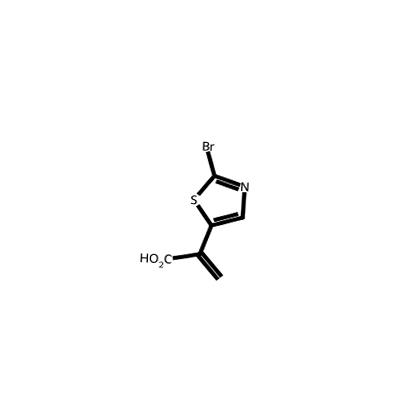 C=C(C(=O)O)c1cnc(Br)s1